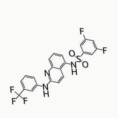 O=S(=O)(Nc1cccc2nc(Nc3cccc(C(F)(F)F)c3)ccc12)c1cc(F)cc(F)c1